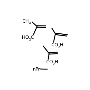 C.C=C(C)C(=O)O.C=C(C)C(=O)O.C=C(C)C(=O)O.CCCC